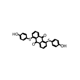 O=C1c2cccc(Sc3ccc(O)cc3)c2C(=O)c2cccc(Sc3ccc(O)cc3)c21